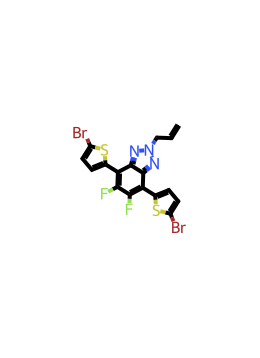 C=CCn1nc2c(-c3ccc(Br)s3)c(F)c(F)c(-c3ccc(Br)s3)c2n1